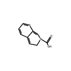 O=C(O)N1C=c2ncccc2=CC1